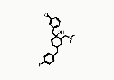 CN(C)CC1CC(Cc2ccc(F)cc2)CCC1(O)Cc1cccc(Cl)c1